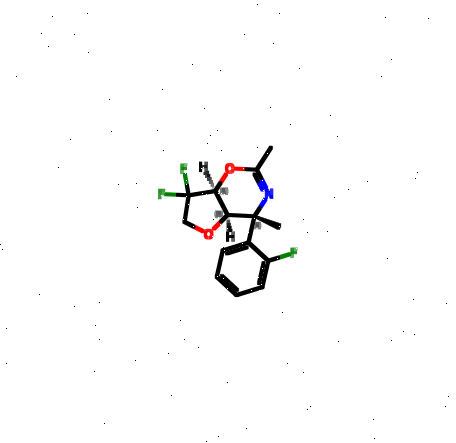 CC1=N[C@](C)(c2ccccc2F)[C@H]2OCC(F)(F)[C@H]2O1